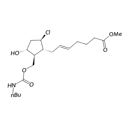 CCCCNC(=O)OC[C@@H]1[C@@H](CC=CCCCC(=O)OC)[C@H](Cl)C[C@H]1O